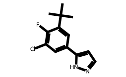 CC(C)(C)c1cc(-c2ccn[nH]2)cc(Cl)c1F